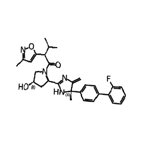 C=C1N=C(C2C[C@@H](O)CN2C(=O)C(c2cc(C)no2)C(C)C)N[C@@]1(C)c1ccc(-c2ccccc2F)cc1